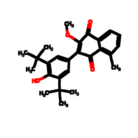 COC1=C(c2cc(C(C)(C)C)c(O)c(C(C)(C)C)c2)C(=O)c2c(C)cccc2C1=O